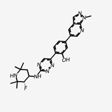 Cn1ncc2cc(-c3ccc(-c4cnc(NC5CC(C)(C)NC(C)(C)[C@H]5F)nn4)c(O)c3)cnc21